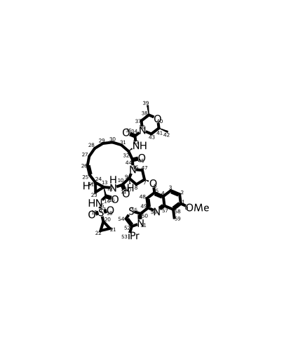 COc1ccc2c(O[C@@H]3C[C@H]4C(=O)N[C@]5(C(=O)NS(=O)(=O)C6CC6)C[C@H]5/C=C\CCCCC[C@H](NC(=O)N5C[C@@H](C)O[C@@H](C)C5)C(=O)N4C3)cc(-c3nc(C(C)C)cs3)nc2c1C